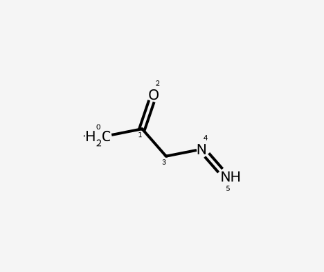 [CH2]C(=O)CN=N